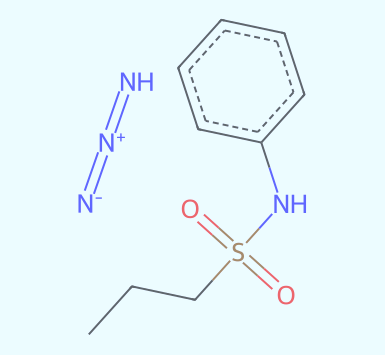 CCCS(=O)(=O)Nc1ccccc1.[N-]=[N+]=N